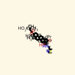 CC(C)C1=C2[C@H]3CC[C@@H]4[C@@]5(C)CC[C@H](OC(=O)CC(C)(C)C(=O)O)C(C)(C)[C@@H]5CC[C@@]4(C)[C@]3(C)CCC2(C(O)CNCc2cscn2)CC1=O